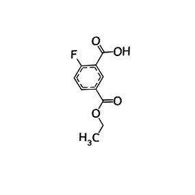 CCOC(=O)c1ccc(F)c(C(=O)O)c1